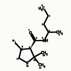 CCCC(C)NC(=O)[C@H]1N(I)CSC1(C)C